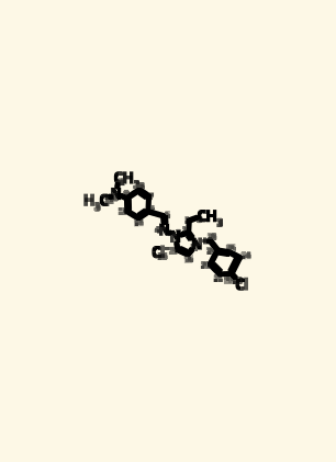 CCc1n(N=Cc2ccc(N(C)C)cc2)cc[n+]1Cc1ccc(Cl)cc1.[Cl-]